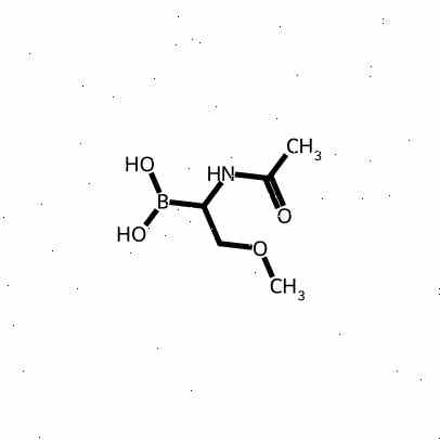 COCC(NC(C)=O)B(O)O